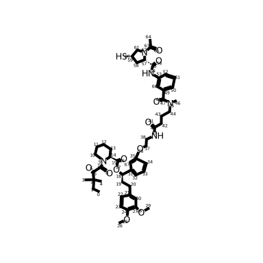 CCC(C)(C)C(=O)C(=O)N1CCCC[C@H]1C(=O)O[C@H](CCc1ccc(OC)c(OC)c1)c1cccc(OCCNC(=O)CCCN(C)C(=O)c2cccc(NC(=O)[C@@H]3C[C@H](S)CN3C(C)=O)c2)c1